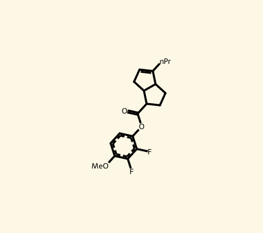 CCCC1=CCC2C(C(=O)Oc3ccc(OC)c(F)c3F)CCC12